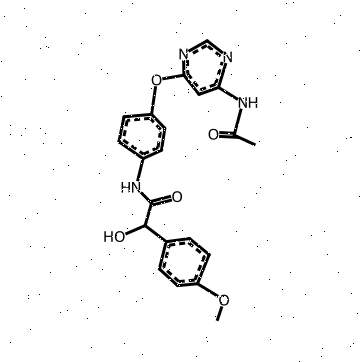 COc1ccc(C(O)C(=O)Nc2ccc(Oc3cc(NC(C)=O)ncn3)cc2)cc1